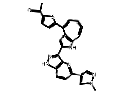 CC(=O)c1ccc(C2=CC=C=Cc3[nH]c(-c4n[nH]c5ccc(-c6cnn(C)c6)nc45)cc32)s1